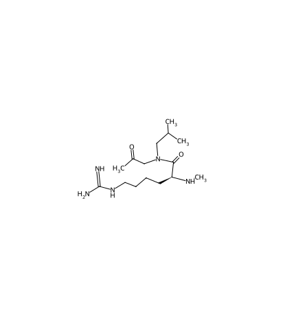 CN[C@@H](CCCCNC(=N)N)C(=O)N(CC(C)=O)CC(C)C